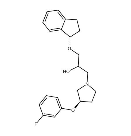 OC(CO[C@H]1CCc2ccccc21)CN1CC[C@@H](Oc2cccc(F)c2)C1